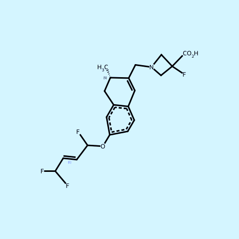 C[C@H]1Cc2cc(OC(F)/C=C/C(F)F)ccc2C=C1CN1CC(F)(C(=O)O)C1